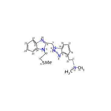 CSCCn1c(Cn2nnc3c(CCN(C)C)cccc32)nc2ccccc21